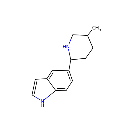 CC1CCC(c2ccc3[nH]ccc3c2)NC1